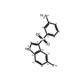 Nc1cccc(S(=O)(=O)c2c[nH]c3ccc(F)cc23)c1